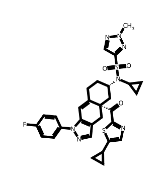 Cn1ncc(S(=O)(=O)N(C2CC2)[C@H]2CCC3=Cc4c(cnn4-c4ccc(F)cc4)C[C@]3(C(=O)c3ncc(C4CC4)s3)C2)n1